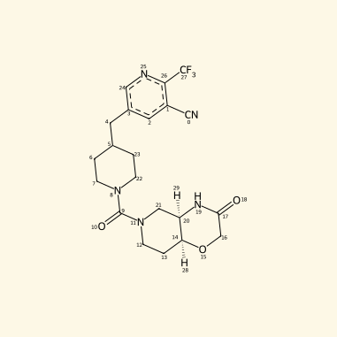 N#Cc1cc(CC2CCN(C(=O)N3CC[C@@H]4OCC(=O)N[C@@H]4C3)CC2)cnc1C(F)(F)F